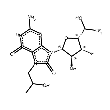 CC(O)Cn1c(=O)n([C@@H]2O[C@H](C(O)C(F)(F)F)[C@H](F)[C@H]2O)c2nc(N)[nH]c(=O)c21